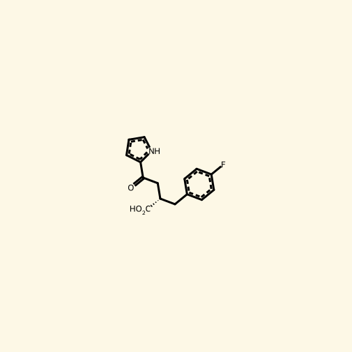 O=C(C[C@H](Cc1ccc(F)cc1)C(=O)O)c1ccc[nH]1